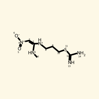 CN/C(=C\[N+](=O)[O-])NCCCSC(=N)N